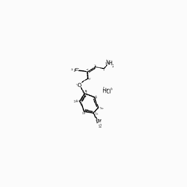 Cl.NC/C=C(/F)COc1ccc(Br)cc1